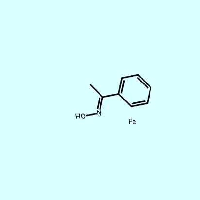 CC(=NO)c1ccccc1.[Fe]